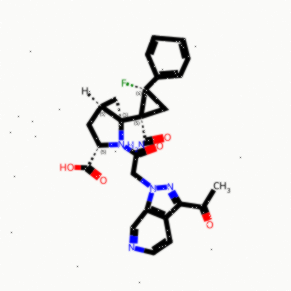 CC(=O)c1nn(CC(=O)N2[C@H](C(=O)O)C[C@H]3C[C@@]32[C@]2(C(N)=O)C[C@]2(F)c2ccccc2)c2cnccc12